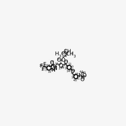 C[Si](C)(C)CCOC(=O)[C@H]1[C@H](Cn2nnc3ccc(C(F)(F)F)cc3c2=O)CC[C@@H]1C(=O)c1ccc(OCc2cccc(N3CCOC3=O)c2)cc1